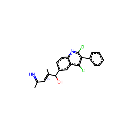 CC(=N)/C=C(\C)C(O)c1ccc2nc(Cl)c(-c3ccccc3)c(Cl)c2c1